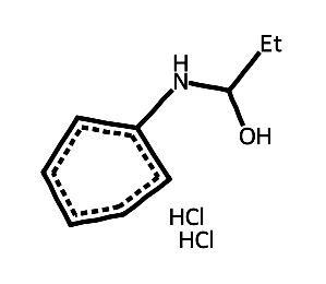 CCC(O)Nc1ccccc1.Cl.Cl